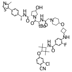 Cc1ncsc1-c1ccc([C@H](C)NC(=O)[C@@H]2C[C@@H](O)CN2C(=O)[C@@H](NC(=O)CN2CCC(O[C@H]3C[C@H](Nc4ccc(C(=O)N[C@H]5C(C)(C)[C@H](Oc6ccc(C#N)c(Cl)c6)C5(C)C)cc4F)C3)CC2)C(C)(C)C)cc1